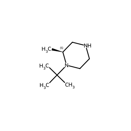 C[C@H]1CNCCN1C(C)(C)C